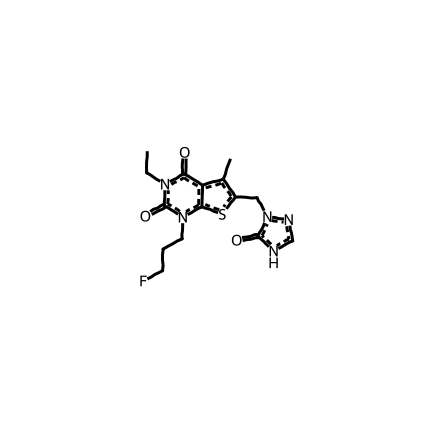 CCn1c(=O)c2c(C)c(Cn3nc[nH]c3=O)sc2n(CCCF)c1=O